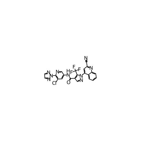 N#Cc1cc(-n2ncc(C(=O)Nc3cnc(-n4nccn4)c(Cl)c3)c2C(F)(F)F)c2ccccc2n1